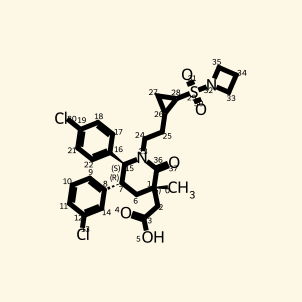 C[C@@]1(CC(=O)O)C[C@H](c2cccc(Cl)c2)[C@@H](c2ccc(Cl)cc2)N(CCC2CC2S(=O)(=O)N2CCC2)C1=O